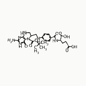 CC(C)(C)OC(=O)N1c2c(nc(N)[nH]c2=O)NCC1CNc1ccc(C(=O)NC(CCC(=O)O)C(=O)O)cc1